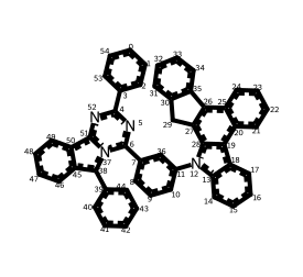 c1ccc(-c2nc(-c3cccc(-n4c5ccccc5c5c6ccccc6c6c(c54)Cc4ccccc4-6)c3)n3c(-c4ccccc4)c4ccccc4c3n2)cc1